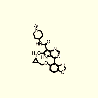 CC(=O)N1CCC(NC(=O)c2c(C)[nH]c3c(-c4c(OCC5CC5)ccc5c4OCO5)ncnc23)CC1